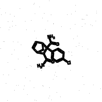 NC(=O)C1C2C=CC(C2)C1(C(N)=O)c1ccc(Cl)cc1